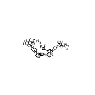 CC(C)(C)OC(=O)N1CCN(c2cccc(CNc3ncnc4c3c(C3CC3(F)F)cn4COCC[Si](C)(C)C)n2)CC1